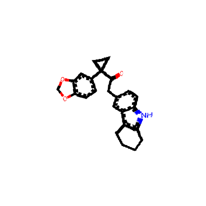 O=C(Cc1ccc2[nH]c3c(c2c1)CCCC3)C1(c2ccc3c(c2)OCO3)CC1